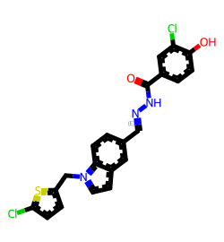 O=C(N/N=C/c1ccc2c(ccn2Cc2ccc(Cl)s2)c1)c1ccc(O)c(Cl)c1